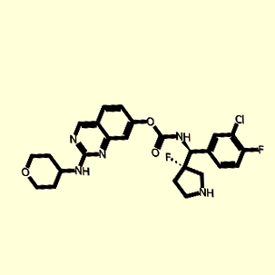 O=C(N[C@@H](c1ccc(F)c(Cl)c1)[C@]1(F)CCNC1)Oc1ccc2cnc(NC3CCOCC3)nc2c1